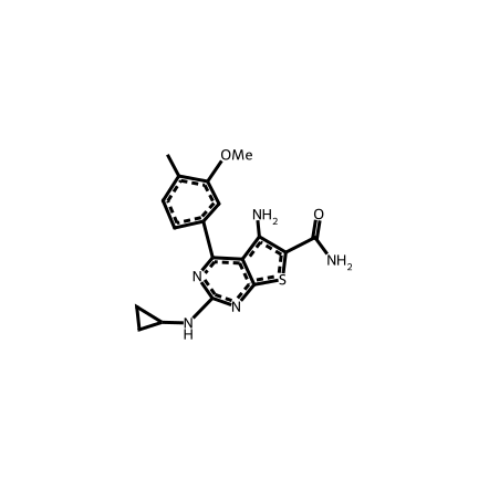 COc1cc(-c2nc(NC3CC3)nc3sc(C(N)=O)c(N)c23)ccc1C